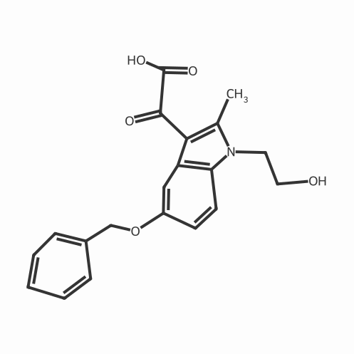 Cc1c(C(=O)C(=O)O)c2cc(OCc3ccccc3)ccc2n1CCO